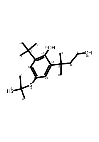 CC(C)(S)Sc1cc(C(C)(C)C)c(O)c(C(C)(C)CCO)c1